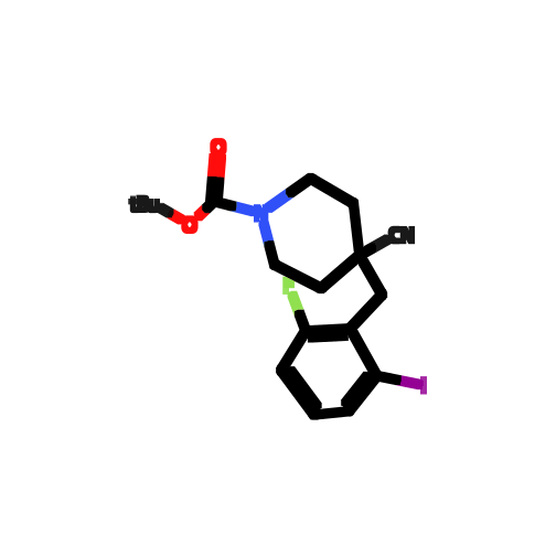 CC(C)(C)OC(=O)N1CCC(C#N)(Cc2c(F)cccc2I)CC1